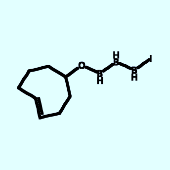 IBBBOC1CC/C=C/CCC1